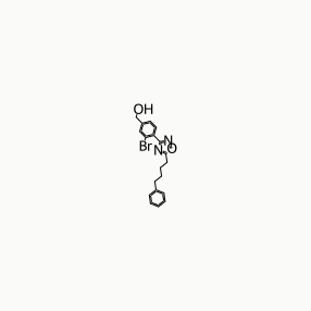 OCc1ccc(-c2noc(CCCCc3ccccc3)n2)c(Br)c1